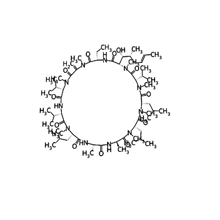 C=C1C(=O)N(C)[C@@H](C(C)C)C(=O)N[C@@H](C(C)C)C(=O)N(C)[C@@H](CC(C)C)C(=O)N[C@@H](C)C(=O)N[C@H](C)C(=O)N(C)[C@@H](CC(C)C)C(=O)N(C)[C@@H](CC(C)C)C(=O)N(C)[C@@H](C(C)C)C(=O)N(C)[C@@H]([C@H](O)[C@H](C)C/C=C/C)C(=O)N[C@@H](CC)C(=O)N1C